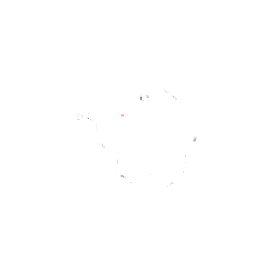 CCCC/C=C\C/C=C\C/C=C\C/C=C\C=C\[C@H](O)CC